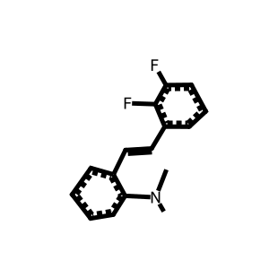 CN(C)c1ccccc1C=Cc1cccc(F)c1F